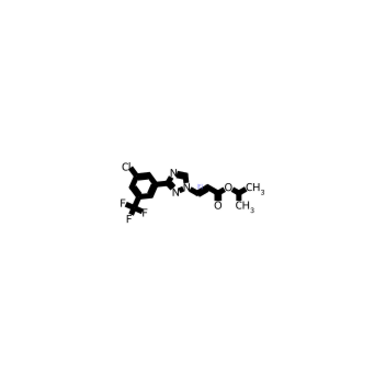 CC(C)OC(=O)/C=C/n1cnc(-c2cc(Cl)cc(C(F)(F)F)c2)n1